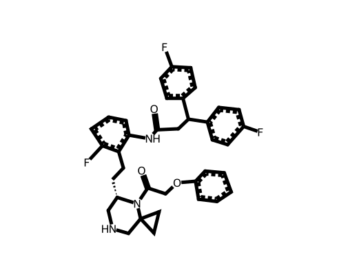 O=C(CC(c1ccc(F)cc1)c1ccc(F)cc1)Nc1cccc(F)c1CC[C@H]1CNCC2(CC2)N1C(=O)COc1ccccc1